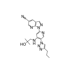 CCCc1cn(-c2cnc(-n3ncc4cc(C#N)cnc43)cc2NCC(C)(C)O)nn1